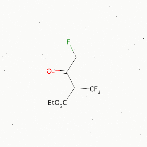 CCOC(=O)C(C(=O)CF)C(F)(F)F